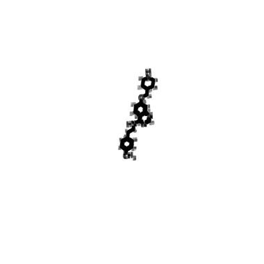 Cc1ccc(CCNc2ncnc3cc(OCC4CCNCC4)ccc23)cc1